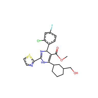 COC(=O)C1=C(C2CCCC(CO)C2)NC(c2nccs2)=NC1c1ccc(F)cc1Cl